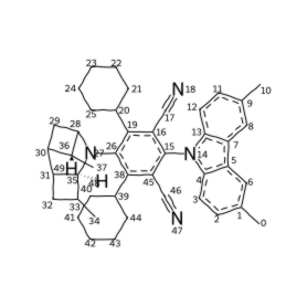 Cc1ccc2c(c1)c1cc(C)ccc1n2-c1c(C#N)c(C2CCCCC2)c(N2C3CC(C4CC(C)[C@@H]42)[C@H]3C)c(C2CCCCC2)c1C#N